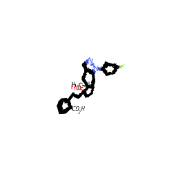 C[C@]12Cc3cnn(-c4ccc(F)cc4)c3C=C1CC[C@@]2(O)CCc1ccccc1C(=O)O